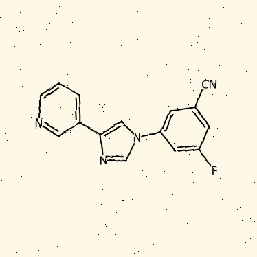 N#Cc1cc(F)cc(-n2cnc(-c3cccnc3)c2)c1